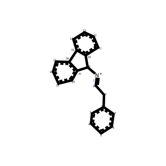 C(/Cc1ccccc1)=N\C1c2ccccc2-c2ccccc21